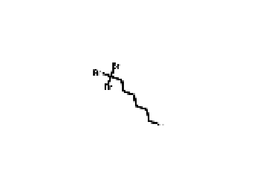 [CH2]CCCCCCC(Br)(Br)Br